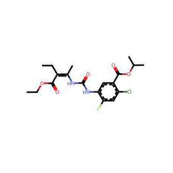 CCOC(=O)/C(CC)=C(/C)NC(=O)Nc1cc(C(=O)OC(C)C)c(Cl)cc1F